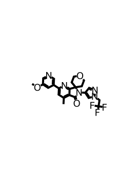 COc1cncc(-c2cc(C)c3c(n2)C2(CCOCC2)N(c2cnn(CC(F)(F)F)c2)C3=O)c1